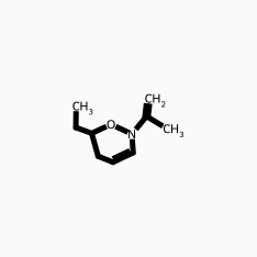 C=C(C)N1C=CCC(CC)O1